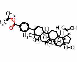 C=C(C)OC(=O)c1ccc(C2=CC[C@]3(C)[C@H]4CC[C@@H]5[C@H]6[C@H](C(=C)C)CC[C@]6(C=O)CC[C@@]5(C)[C@]4(C)CC[C@H]3C2(C)C)cc1